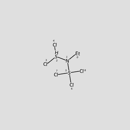 CCN([SH](Cl)Cl)S(Cl)(Cl)Cl